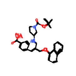 CC(C)(C)OC(=O)N1CCC(NCC(=Cc2ccc(C(=O)O)cc2)COc2cccc3ccccc23)C1